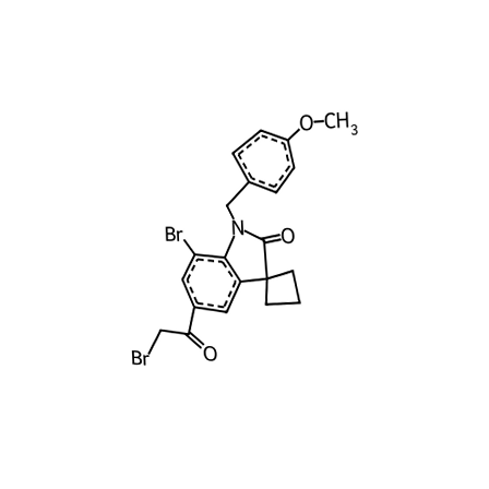 COc1ccc(CN2C(=O)C3(CCC3)c3cc(C(=O)CBr)cc(Br)c32)cc1